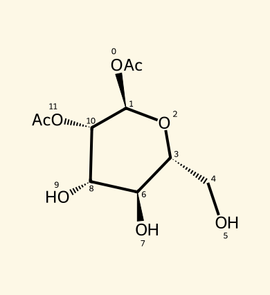 CC(=O)O[C@H]1O[C@H](CO)[C@@H](O)[C@H](O)[C@@H]1OC(C)=O